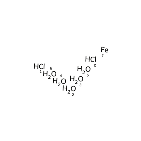 Cl.Cl.O.O.O.O.O.[Fe]